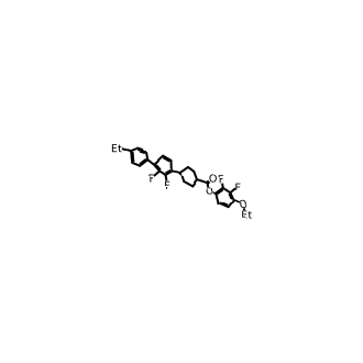 CCOc1ccc(OC(=O)C2CCC(c3ccc(-c4ccc(CC)cc4)c(F)c3F)CC2)c(F)c1F